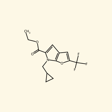 CCOC(=O)c1cc2cc(C(F)(F)F)oc2n1CC1CC1